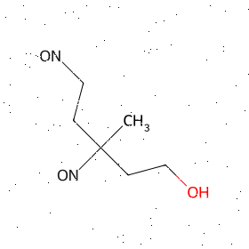 CC(CCO)(CCN=O)N=O